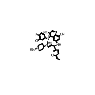 C=C(/C=C\C(Cl)=C/C)[C@H](Nc1cc(C#N)c2ncc(C#N)c(Nc3ccc(F)c(Cl)c3)c2c1)c1cn(C2CCN(C(C)(C)C)CC2)nn1